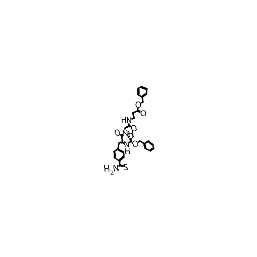 NC(=S)c1ccc(CC(NC(=O)OCc2ccccc2)C(=O)NCC(=O)NCCC(=O)OCc2ccccc2)cc1